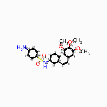 COc1cc(/C=C\c2cccc(NS(=O)(=O)c3ccc(N)cc3)c2)cc(OC)c1OC